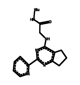 CC(C)(C)NC(=O)CNc1nc(-c2ccccn2)nc2c1CCC2